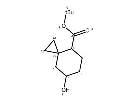 CC(C)(C)OC(=O)C1CCC(O)CC12CC2